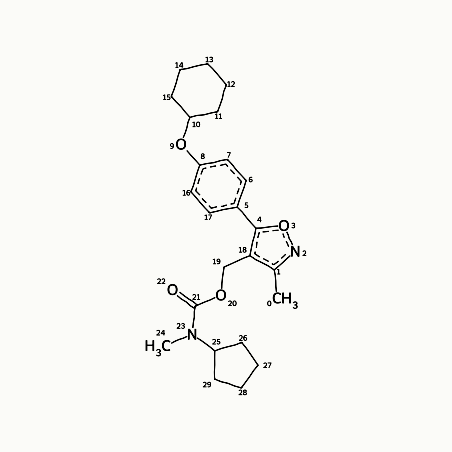 Cc1noc(-c2ccc(OC3CCCCC3)cc2)c1COC(=O)N(C)C1CCCC1